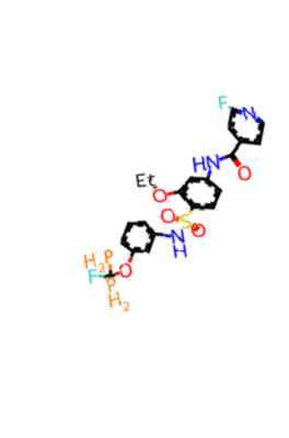 CCOc1cc(NC(=O)c2ccnc(F)c2)ccc1S(=O)(=O)Nc1cccc(OC(F)(P)P)c1